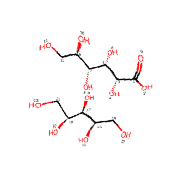 O=C(O)[C@H](O)[C@@H](O)[C@H](O)[C@H](O)CO.OC[C@@H](O)[C@H](O)[C@@H](O)CO